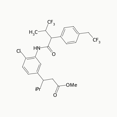 COC(=O)CC(c1ccc(Cl)c(NC(=O)C(c2ccc(CC(F)(F)F)cc2)C(C)C(F)(F)F)c1)C(C)C